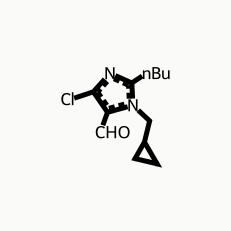 CCCCc1nc(Cl)c(C=O)n1CC1CC1